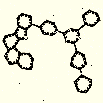 c1ccc(-c2ccc(-c3nc(-c4ccccc4)nc(-c4ccc(-c5cccc6c5oc5c6ccc6ccc7ccccc7c65)cc4)n3)cc2)cc1